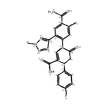 Cc1cc(N2C=C(C(=O)O)[C@H](c3ccc(F)cc3)CC2=O)c(-c2nnn(C)n2)cc1C(N)=O